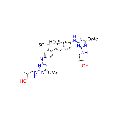 COc1nc(NCC(C)CO)nc(Nc2ccc(C=Cc3ccc(Nc4nc(NCC(C)CO)nc(OC)n4)cc3S(=O)(=O)O)c(S(=O)(=O)O)c2)n1